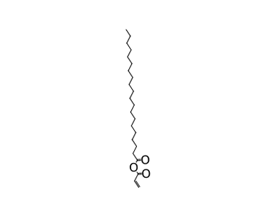 C=CC(=O)OC(=O)CCCCCCCCCCCCCCCCCCC